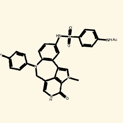 CC(=O)Nc1ccc(S(=O)(=O)Nc2ccc3c(c2)-c2cn(C)c4c(=O)[nH]cc(c24)CN3c2ccc(F)cc2)cc1